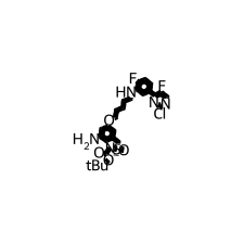 CC(C)(C)OC(=O)N=S(C)(=O)Cc1cc(N)cc(OCCCCCNc2cc(-c3nc(Cl)ncc3F)ccc2F)c1